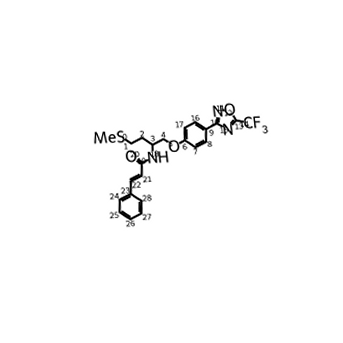 CSCCC(COc1ccc(-c2noc(C(F)(F)F)n2)cc1)NC(=O)C=Cc1ccccc1